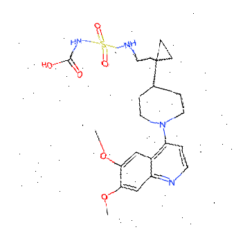 COc1cc2nccc(N3CCC(C4(CNS(=O)(=O)NC(=O)O)CC4)CC3)c2cc1OC